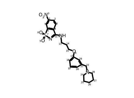 O=[N+]([O-])c1ccc2c(c1)S(=O)(=O)N=C2NCCCOc1cccc(CN2CCCCC2)c1